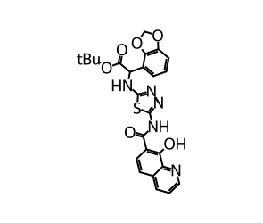 CC(C)(C)OC(=O)C(Nc1nnc(NC(=O)c2ccc3cccnc3c2O)s1)c1cccc2c1OCO2